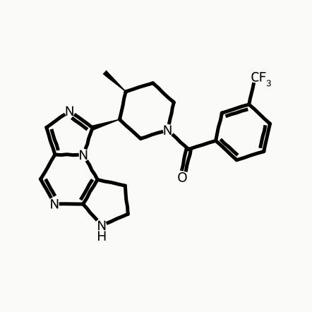 C[C@H]1CCN(C(=O)c2cccc(C(F)(F)F)c2)C[C@H]1c1ncc2cnc3c(n12)CCN3